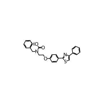 O=C(O)N(CCOc1ccc(-c2nc(-c3ccccc3)cs2)cc1)Cc1ccccc1